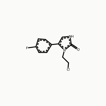 O=c1[nH]cc(-c2ccc(F)cc2)n1CCCl